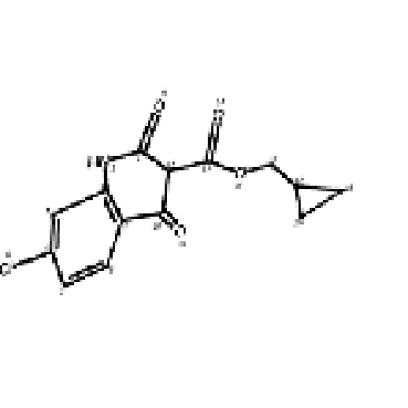 O=C1Nc2cc(Cl)ccc2C(=O)C1C(=O)OCC1CC1